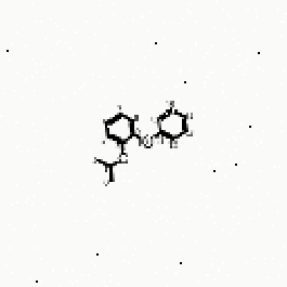 CC(C)Oc1ccccc1Oc1ccccc1